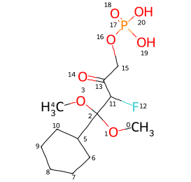 COC(OC)(C1CCCCC1)C(F)C(=O)COP(=O)(O)O